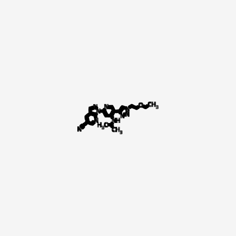 CCOCCn1cc(-c2cnc(-n3ncc4cc(C#N)cnc43)cc2NC(C)C)nn1